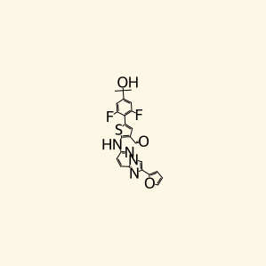 CC(C)(O)c1cc(F)c(-c2cc(C=O)c(Nc3ccc4nc(-c5ccco5)cn4n3)s2)c(F)c1